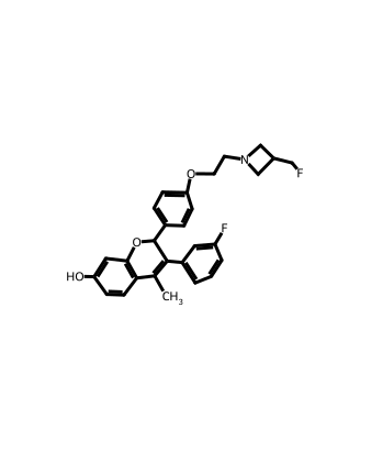 CC1=C(c2cccc(F)c2)C(c2ccc(OCCN3CC(CF)C3)cc2)Oc2cc(O)ccc21